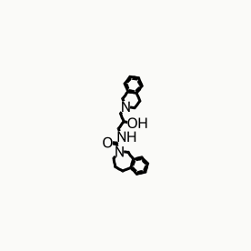 O=C(NCC(O)CN1CCc2ccccc2C1)N1CCCc2ccccc2C1